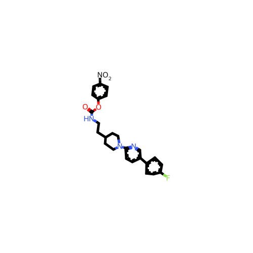 O=C(NCCC1CCN(c2ccc(-c3ccc(F)cc3)cn2)CC1)Oc1ccc([N+](=O)[O-])cc1